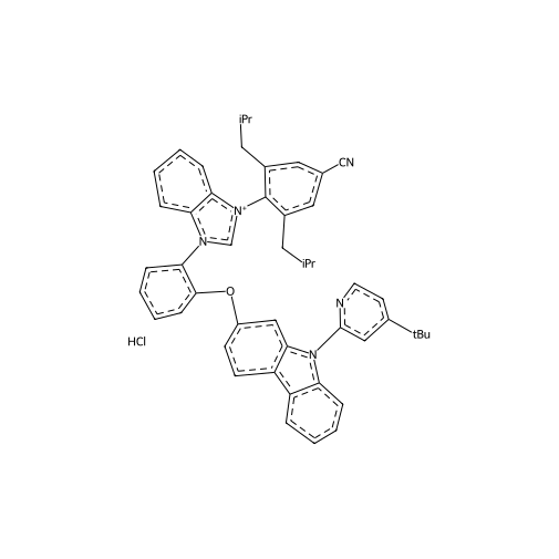 CC(C)Cc1cc(C#N)cc(CC(C)C)c1-[n+]1cn(-c2ccccc2Oc2ccc3c4ccccc4n(-c4cc(C(C)(C)C)ccn4)c3c2)c2ccccc21.Cl